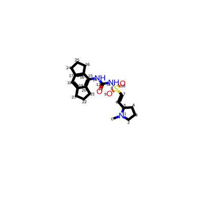 CN1CCCC1C=CS(=O)(=O)NC(=O)Nc1c2c(cc3c1CCC3)CCC2